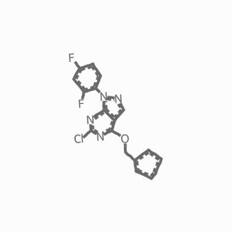 Fc1ccc(-n2ncc3c(OCc4ccccc4)nc(Cl)nc32)c(F)c1